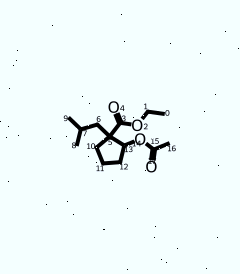 CCOC(=O)C1(CC(C)C)CCCC1OC(C)=O